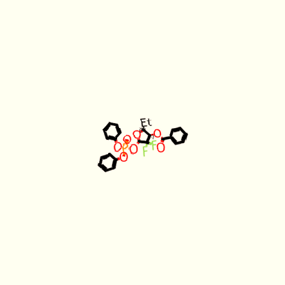 CC[C@H]1OC(OP(=O)(Oc2ccccc2)Oc2ccccc2)C(F)(F)[C@@H]1OC(=O)c1ccccc1